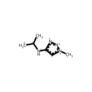 CC(C)Nc1cn(C)nn1